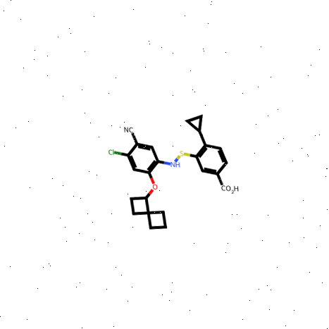 N#Cc1cc(NSc2cc(C(=O)O)ccc2C2CC2)c(OC2CCC23CCC3)cc1Cl